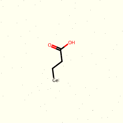 O=C(O)C[CH2][Ge]